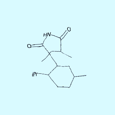 CC1CCC(C(C)C)C(C2(C)C(=O)NC(=O)C2C)C1